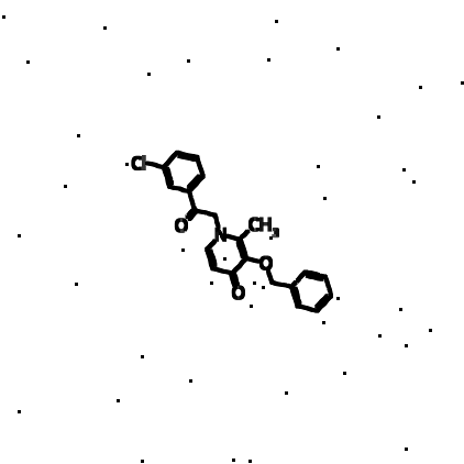 Cc1c(OCc2ccccc2)c(=O)ccn1CC(=O)c1cccc(Cl)c1